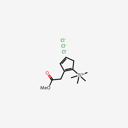 COC(=O)CC1=[C]([Ti+3]([CH3])([CH3])([CH3])[CH3])CC=C1.[Cl-].[Cl-].[Cl-]